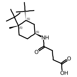 CC(C)(C)[C@@H]1C[C@@H](NC(=O)CCC(=O)O)CC[C@]1(C)C(C)(C)C